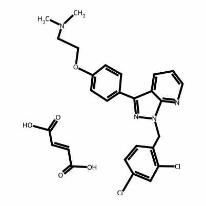 CN(C)CCOc1ccc(-c2nn(Cc3ccc(Cl)cc3Cl)c3ncccc23)cc1.O=C(O)C=CC(=O)O